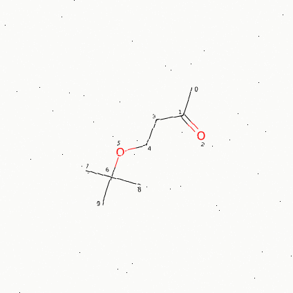 CC(=O)CCOC(C)(C)C